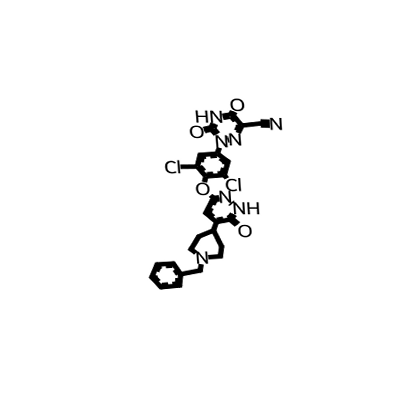 N#Cc1nn(-c2cc(Cl)c(Oc3cc(C4CCN(Cc5ccccc5)CC4)c(=O)[nH]n3)c(Cl)c2)c(=O)[nH]c1=O